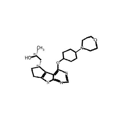 C[C@@H](O)C[C@H]1CCc2sc3ncnc(OC4CCC(N5CCOCC5)CC4)c3c21